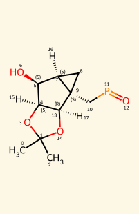 CC1(C)O[C@H]2[C@@H](O)[C@H]3C[C@@]3(CP=O)[C@H]2O1